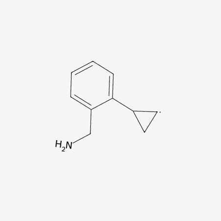 NCc1ccccc1C1[CH]C1